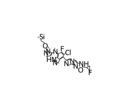 CN(c1c(F)c(Cl)c(-c2cn3cc(NC(=O)C4CC4F)nc3cn2)c2cn[nH]c12)c1ccnn1COCC[Si](C)(C)C